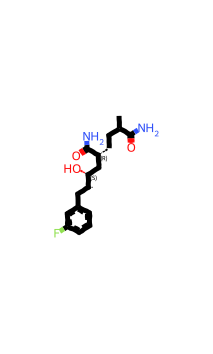 CC(CC[C@H](C[C@@H](O)[CH]Cc1cccc(F)c1)C(N)=O)C(N)=O